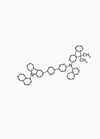 CC1(C)c2ccccc2-c2ccc(N(c3ccc(-c4ccc(-c5ccc6c(c5)c5ccccc5n6-c5cccc6ccccc56)cc4)cc3)c3cccc4ccccc34)cc21